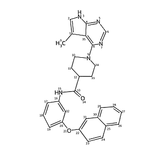 Cc1c[nH]c2ncnc(N3CCC(C(=O)Nc4cccc(Oc5ccc6ccccc6c5)c4)CC3)c12